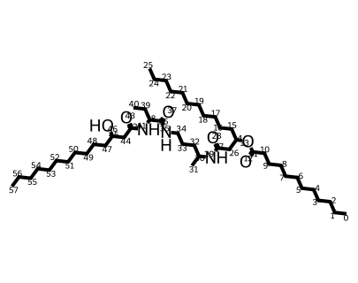 CCCCCCCCCCCC(=O)OC(CCCCCCCCCCC)CC(=O)NC(C)CCCNC(=O)C(CC)NC(=O)CC(O)CCCCCCCCCCC